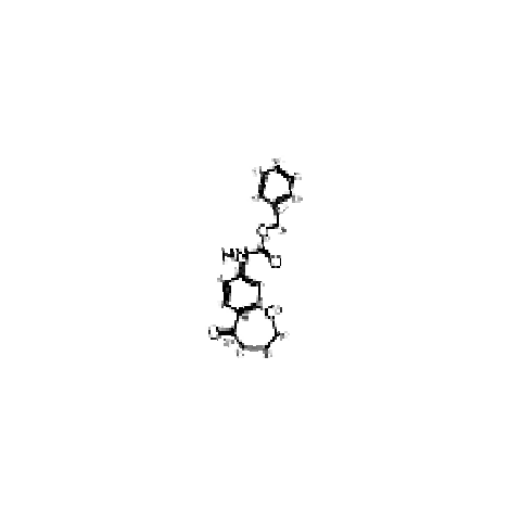 O=C(Nc1ccc2c(c1)OCCCC2=O)OCc1ccccc1